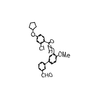 COc1ccc(-c2cccc(C=O)c2)cc1CNC(=O)c1ccc(OC2CCCC2)cc1Cl